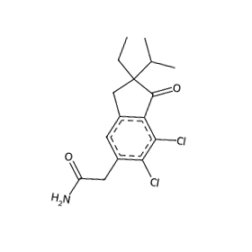 CCC1(C(C)C)Cc2cc(CC(N)=O)c(Cl)c(Cl)c2C1=O